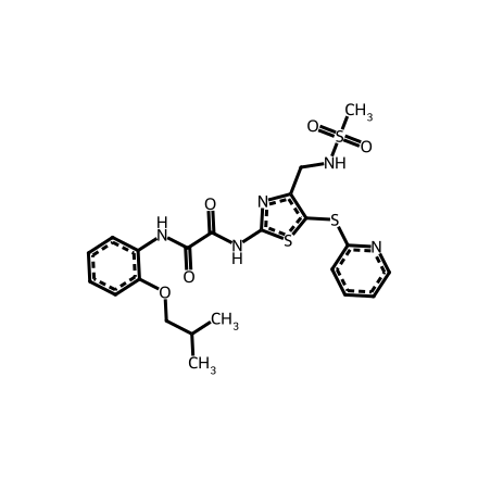 CC(C)COc1ccccc1NC(=O)C(=O)Nc1nc(CNS(C)(=O)=O)c(Sc2ccccn2)s1